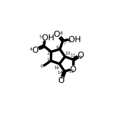 CC1C(C(=O)O)C(C(=O)O)C2C(=O)OC(=O)C12